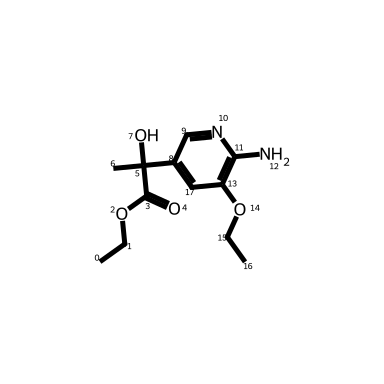 CCOC(=O)C(C)(O)c1cnc(N)c(OCC)c1